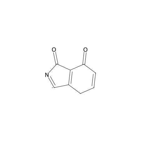 O=C1C=CCC2=C1C(=O)N=[C]2